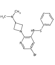 CN(C)C1CN(c2ncc(Br)cc2NSc2ccccc2)C1